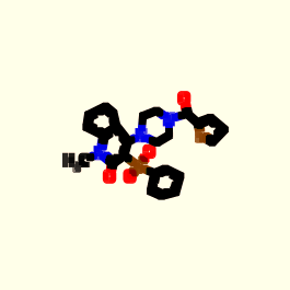 Cn1c(=O)c(S(=O)(=O)c2ccccc2)c(N2CCN(C(=O)c3cccs3)CC2)c2ccccc21